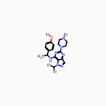 CCOc1ccc(C(C)Nc2nc(N3CCN(C(C)=O)CC3)nc3cnn(C(CC)CC)c23)cc1